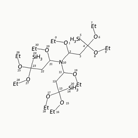 CCOC(CC([SiH3])(OCC)OCC)N(C(CC([SiH3])(OCC)OCC)OCC)C(CC([SiH3])(OCC)OCC)OCC